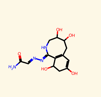 NC(=O)/C=N/N=C1\NCC(O)C(O)CC2=C1C(O)CC(O)=C2